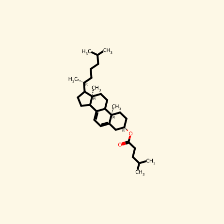 CC(C)CCC[C@@H](C)C1CCC2C3=CC=C4C[C@@H](OC(=O)CCC(C)C)CC[C@]4(C)C3CC[C@@]21C